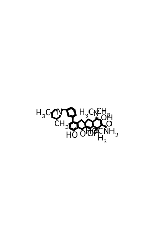 CC1CC(C)CN(Cc2cccc(-c3ccc(O)c4c3CC3CC5C(C(O)=C3C4=O)[C@](C)(O)C(C(N)=O)=C(O)[C@H]5N(C)C)c2)C1